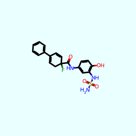 NS(=O)(=O)Nc1cc(NC(=O)C2(F)C=CC(c3ccccc3)=CC2)ccc1O